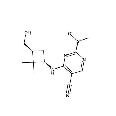 C[S+]([O-])c1ncc(C#N)c(N[C@@H]2C[C@H](CO)C2(C)C)n1